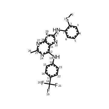 CSc1ccccc1Nc1nc2c(Nc3ccc(C(F)(F)F)cc3)nc(C)nc2s1